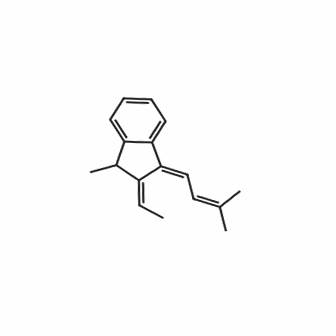 C/C=C1\C(=C/C=C(C)C)c2ccccc2C1C